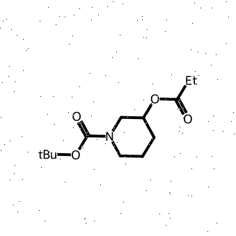 CCC(=O)OC1CCCN(C(=O)OC(C)(C)C)C1